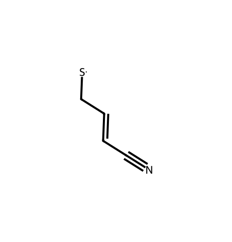 N#CC=CC[S]